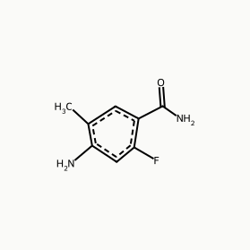 Cc1cc(C(N)=O)c(F)cc1N